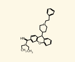 CCN(CC)C(=N)c1ccc2c(c1)Oc1ccccc1C2C1CCN(CCc2ccccc2)CC1